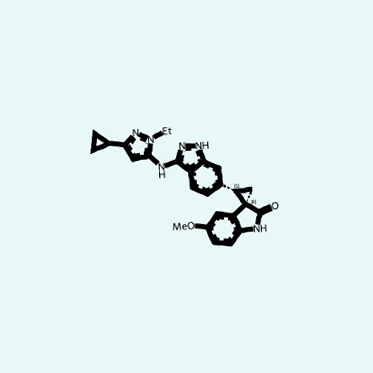 CCn1nc(C2CC2)cc1Nc1n[nH]c2cc([C@@H]3C[C@@]34C(=O)Nc3ccc(OC)cc34)ccc12